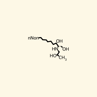 CCCCCCCCCCCCCCC[C@@H](O)[C@H](CO)NCC(C)O